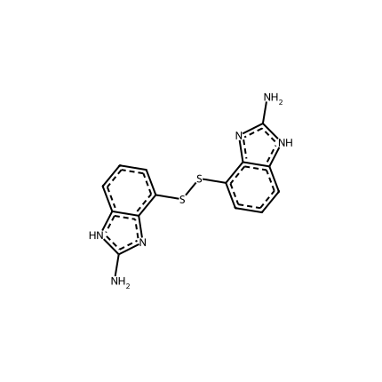 Nc1nc2c(SSc3cccc4[nH]c(N)nc34)cccc2[nH]1